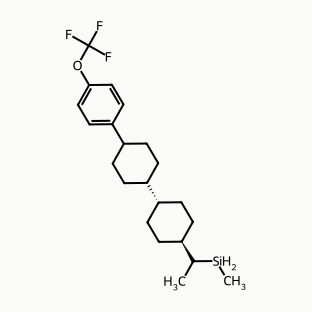 C[SiH2]C(C)[C@H]1CC[C@H](C2CCC(c3ccc(OC(F)(F)F)cc3)CC2)CC1